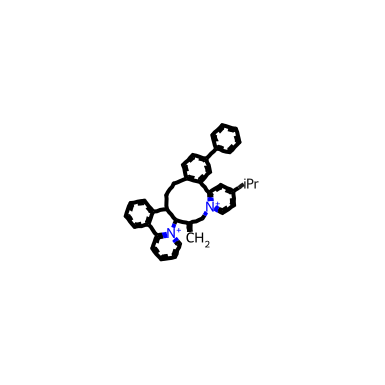 C=C1C[n+]2ccc(C(C)C)cc2-c2cc(-c3ccccc3)ccc2CCC2c3ccccc3-c3cccc[n+]3C12